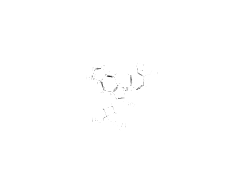 CC(C)c1c([C@H]2C[C@](O)(C(=O)O)C2)c2cc3[nH]ncc3cc2n1-c1ccc(F)c(F)c1